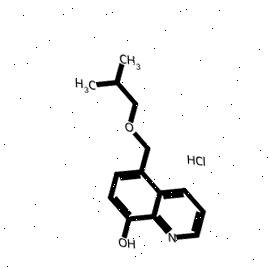 CC(C)COCc1ccc(O)c2ncccc12.Cl